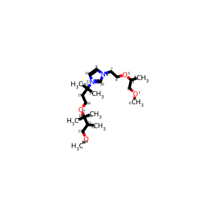 COCC(C)OCCn1cc[n+](C(C)(C)CCOC(C)(C)C(C)COC)c1